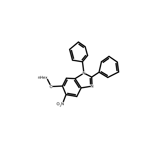 CCCCCCOc1cc2c(cc1[N+](=O)[O-])nc(-c1ccccc1)n2-c1ccccc1